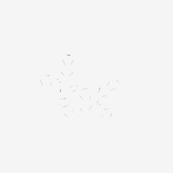 CC(C)c1ccc(N(c2ccc3ccccc3c2)c2cc3oc4ccc5oc6cc(N(c7ccc(C(C)C)cc7)c7ccc8ccccc8c7)c7ccccc7c6c5c4c3c3ccccc23)cc1